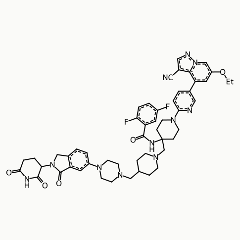 CCOc1cc(-c2ccc(N3CCC(CN4CCC(CN5CCN(c6ccc7c(c6)C(=O)N(C6CCC(=O)NC6=O)C7)CC5)CC4)(NC(=O)c4cc(F)ccc4F)CC3)nc2)c2c(C#N)cnn2c1